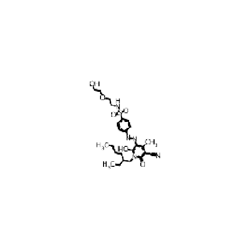 CCCCC(CC)Cn1c(O)c(/N=N/c2ccc(S(=O)(=O)NCCOCCO)cc2)c(C)c(C#N)c1=O